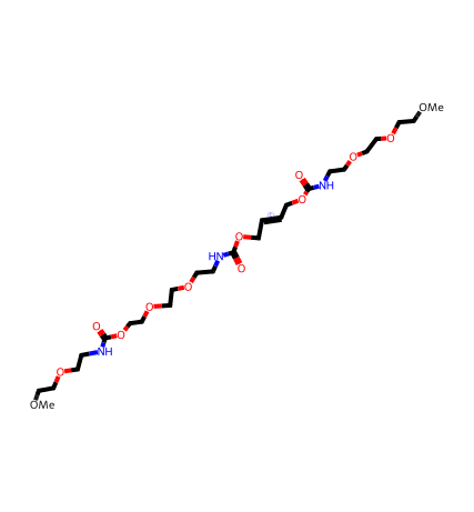 COCCOCCNC(=O)OCCOCCOCCNC(=O)OC/C=C/COC(=O)NCCOCCOCCOC